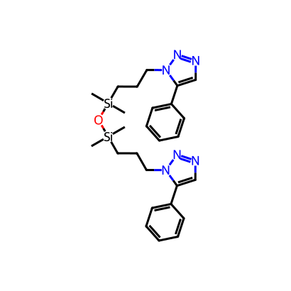 C[Si](C)(CCCn1nncc1-c1ccccc1)O[Si](C)(C)CCCn1nncc1-c1ccccc1